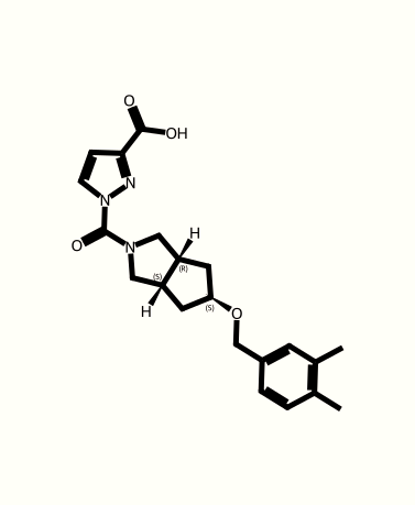 Cc1ccc(CO[C@H]2C[C@@H]3CN(C(=O)n4ccc(C(=O)O)n4)C[C@@H]3C2)cc1C